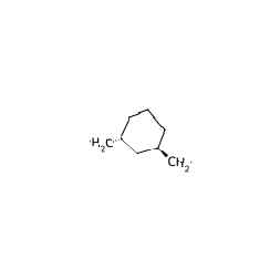 [CH2][C@@H]1CCC[C@@H]([CH2])C1